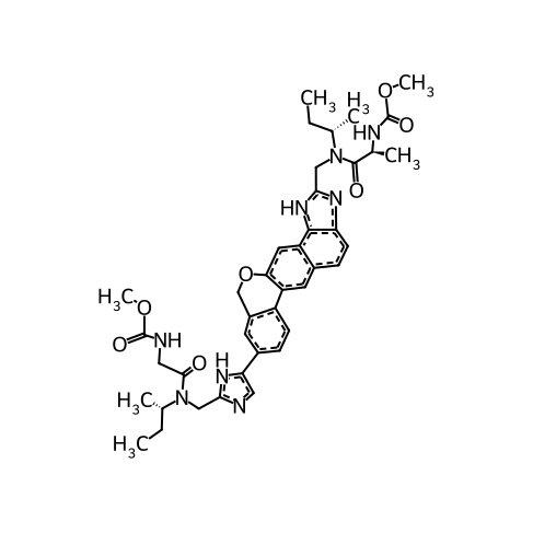 CC[C@H](C)N(Cc1ncc(-c2ccc3c(c2)COc2cc4c(ccc5nc(CN(C(=O)[C@H](C)NC(=O)OC)[C@@H](C)CC)[nH]c54)cc2-3)[nH]1)C(=O)CNC(=O)OC